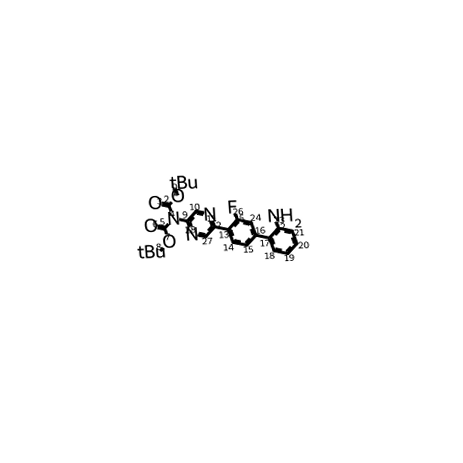 CC(C)(C)OC(=O)N(C(=O)OC(C)(C)C)c1cnc(-c2ccc(-c3ccccc3N)cc2F)cn1